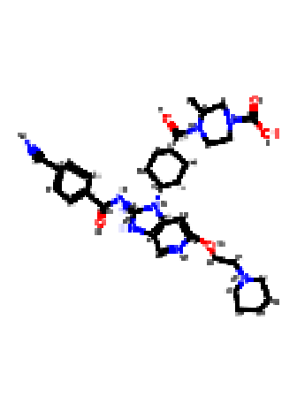 CC1CN(C(=O)O)CCN1C(=O)[C@H]1CC[C@@H](n2/c(=N/C(=O)c3ccc(C#N)cc3)[nH]c3cnc(OCCN4CCCCC4)cc32)CC1